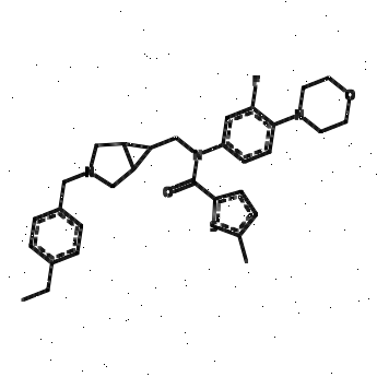 CCc1ccc(CN2CC3C(C2)C3CN(C(=O)c2ccc(C)s2)c2ccc(N3CCOCC3)c(F)c2)cc1